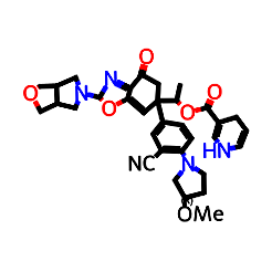 CO[C@@H]1CCN(c2ccc(C3(C(C)OC(=O)C4=CNC=CC4)C=C4OC(N5CC6COCC6C5)N=C4C(=O)C3)cc2C#N)C1